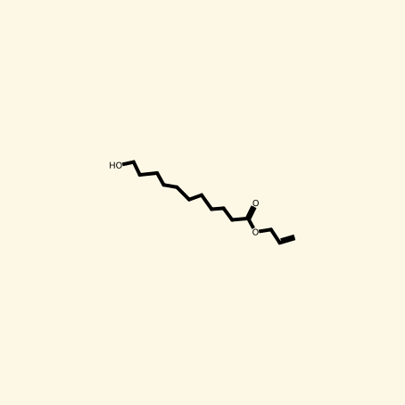 C=CCOC(=O)CCCCCCCCCCO